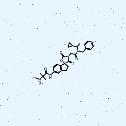 CCN(CC)C(C)(C)C(=O)Nc1ccc2c(c1)CCC21OC(=O)N(CC(=O)N(Cc2ccccc2)C(C)C2CC2)C1=O